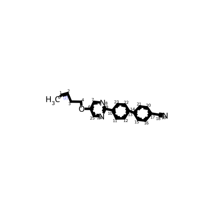 C/C=C\CCOc1cnc(-c2ccc(-c3ccc(C#N)cc3)cc2)nc1